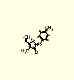 C=CC1=C(C)C(=O)N(Sc2ccc(C)cc2)C1